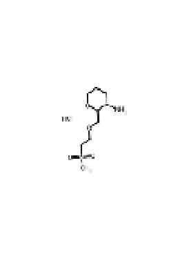 CS(=O)(=O)CCOCC1OCCCC1N.Cl